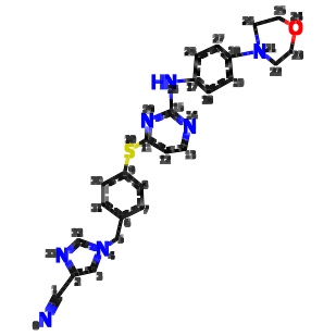 N#Cc1cn(Cc2ccc(Sc3ccnc(Nc4ccc(N5CCOCC5)cc4)n3)cc2)cn1